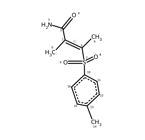 C/C(C(N)=O)=C(/C)S(=O)(=O)c1ccc(C)cc1